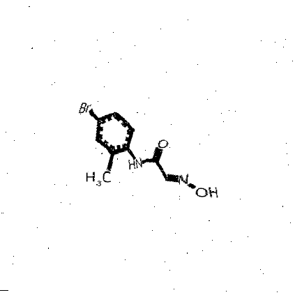 Cc1cc(Br)ccc1NC(=O)C=NO